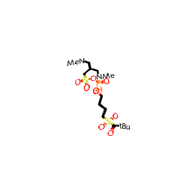 CNCC(CNC)CS(=O)(=O)O[PH](=O)OCCCCS(=O)(=O)C(=O)C(C)(C)C